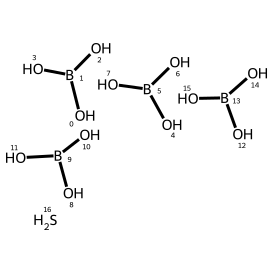 OB(O)O.OB(O)O.OB(O)O.OB(O)O.S